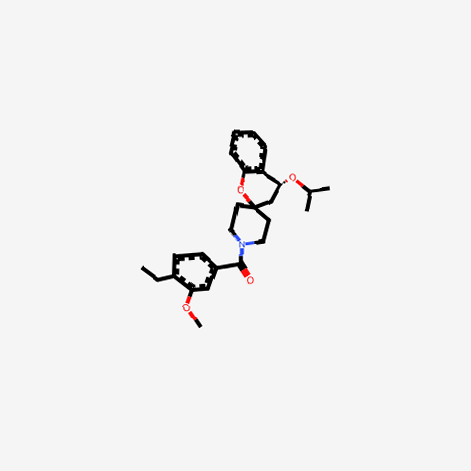 CCc1ccc(C(=O)N2CCC3(CC2)C[C@@H](OC(C)C)c2ccccc2O3)cc1OC